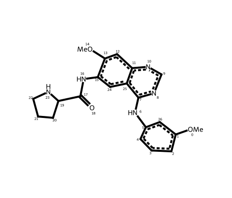 COc1cccc(Nc2ncnc3cc(OC)c(NC(=O)C4CCCN4)cc23)c1